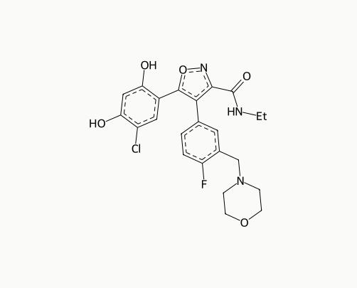 CCNC(=O)c1noc(-c2cc(Cl)c(O)cc2O)c1-c1ccc(F)c(CN2CCOCC2)c1